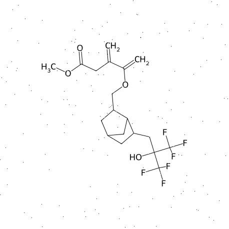 C=C(CC(=O)OC)C(=C)OCC1CC2CC(CC(O)(C(F)(F)F)C(F)(F)F)C1C2